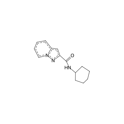 O=C(NC1CCCCC1)c1cc2ccccn2n1